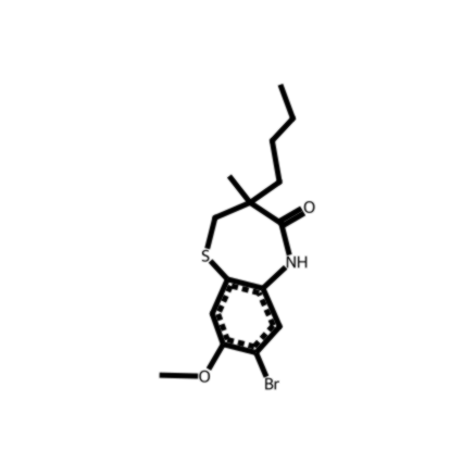 CCCCC1(C)CSc2cc(OC)c(Br)cc2NC1=O